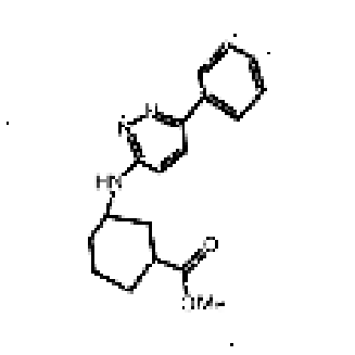 COC(=O)C1CCCC(Nc2ccc(-c3ccccc3)nn2)C1